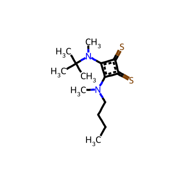 CCCCN(C)c1c(N(C)C(C)(C)C)c(=S)c1=S